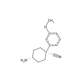 COc1cccc([C@]2(C#N)CC[C@@H](N)CC2)c1